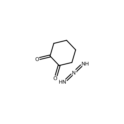 N=[N+]=N.O=C1CCCCC1=O